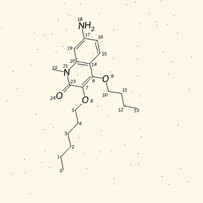 CCCCCCOc1c(OCCCC)c2ccc(N)cc2n(C)c1=O